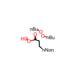 CCCCCCCCCCCC(=O)OO.CCCCOOCCCC